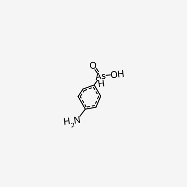 Nc1ccc([AsH](=O)O)cc1